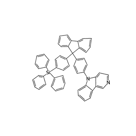 c1ccc([Si](c2ccccc2)(c2ccccc2)c2ccc(C3(c4ccc(-n5c6ccccc6c6cnccc65)cc4)c4ccccc4-c4ccccc43)cc2)cc1